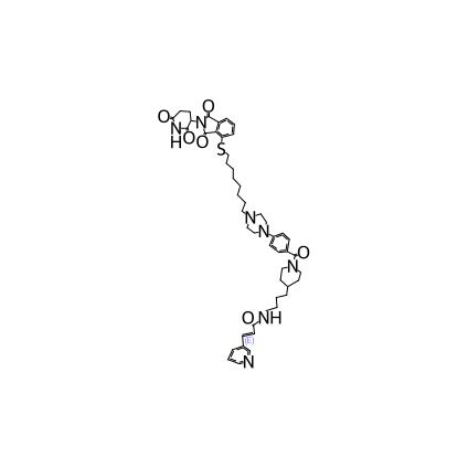 O=C(/C=C/c1cccnc1)NCCCCC1CCN(C(=O)c2ccc(N3CCN(CCCCCCCCSc4cccc5c4C(=O)N(C4CCC(=O)NC4=O)C5=O)CC3)cc2)CC1